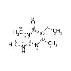 CCc1c(C)nc(NC)n(C)c1=O